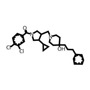 O=C(c1ccc(Cl)c(Cl)c1)N1CC(CN2CCC(O)(CCCc3ccccc3)CC2)C(C2CC2)C1